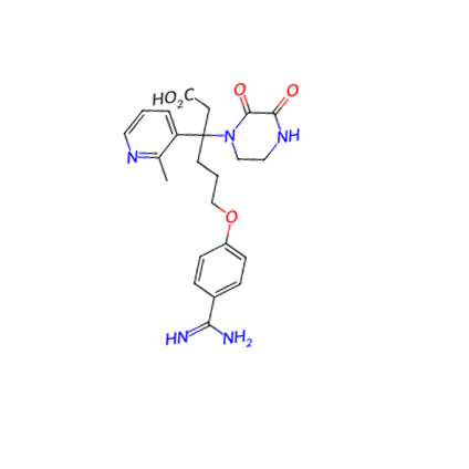 Cc1ncccc1C(CCCOc1ccc(C(=N)N)cc1)(CC(=O)O)N1CCNC(=O)C1=O